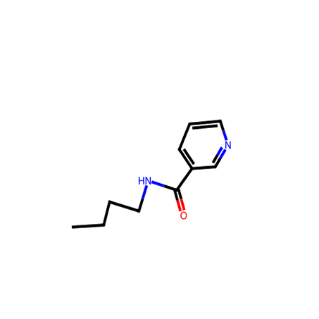 CCCCNC(=O)c1cccnc1